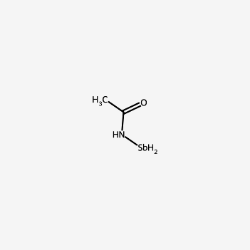 CC(=O)[NH][SbH2]